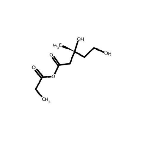 CCC(=O)OC(=O)C[C@](C)(O)CCO